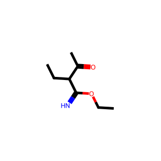 CCOC(=N)C(CC)C(C)=O